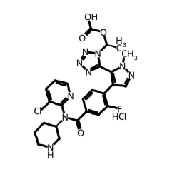 C[C@H](OC(=O)O)n1nnnc1-c1c(-c2ccc(C(=O)N(c3ncccc3Cl)[C@@H]3CCCNC3)cc2F)cnn1C.Cl